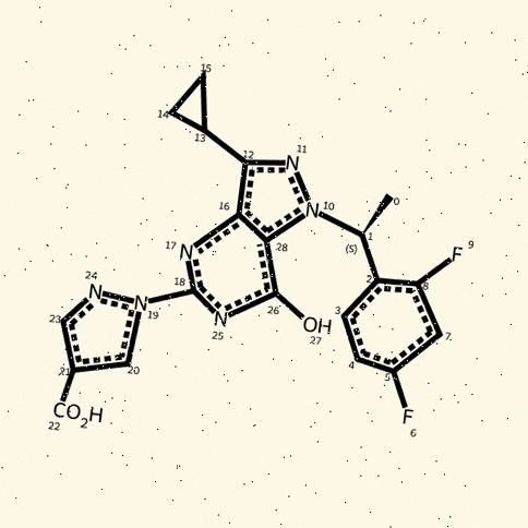 C[C@@H](c1ccc(F)cc1F)n1nc(C2CC2)c2nc(-n3cc(C(=O)O)cn3)nc(O)c21